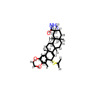 Cc1c2c(cc3c1C(SC(C)C)C=C1[C@@]3(C)CC[C@@]3(C)[C@@H]4C[C@](C)(C(N)=O)CC[C@]4(C)CC[C@]13C)OCCO2